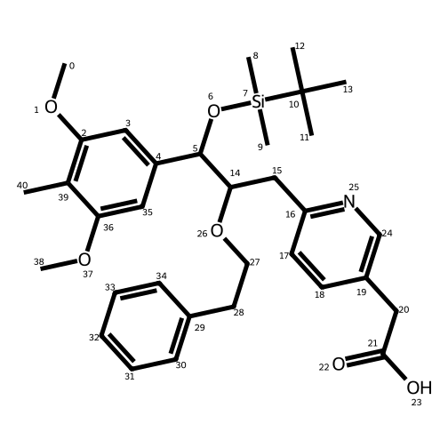 COc1cc(C(O[Si](C)(C)C(C)(C)C)C(Cc2ccc(CC(=O)O)cn2)OCCc2ccccc2)cc(OC)c1C